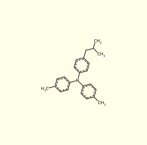 Cc1ccc(N(c2ccc(C)cc2)c2ccc(CC(C)C)cc2)cc1